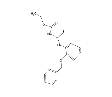 CCOC(=O)NC(=S)Nc1ccccc1OCc1ccccc1